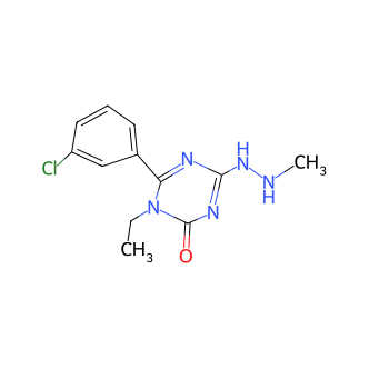 CCn1c(-c2cccc(Cl)c2)nc(NNC)nc1=O